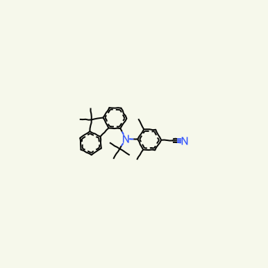 Cc1cc(C#N)cc(C)c1N(c1cccc2c1-c1ccccc1C2(C)C)C(C)(C)C